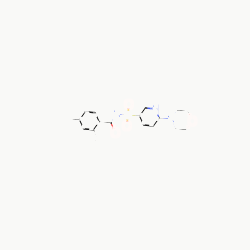 O=C(NS(=O)(=O)c1ccc(N2CCOCC2)nc1)c1ccc(C(F)(F)F)cc1C(F)(F)F